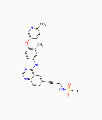 Cc1ccc(Oc2ccc(Nc3ncnc4ccc(C#CCNS(C)(=O)=O)cc34)cc2C)cn1